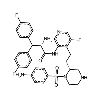 Nc1ccc(S(=O)(=O)N2CCNC[C@H]2CCc2c(F)cncc2NC(=O)[C@@H](N)C(c2ccc(F)cc2)c2ccc(F)cc2)cc1